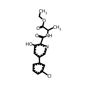 CCOC(=O)C(C)NC(=O)c1ncc(-c2cccc(Cl)c2)cc1O